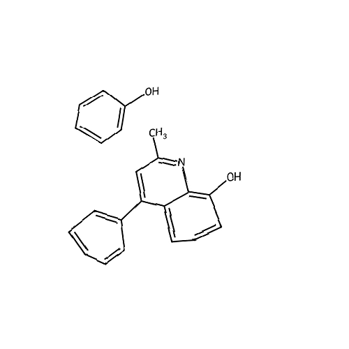 Cc1cc(-c2ccccc2)c2cccc(O)c2n1.Oc1ccccc1